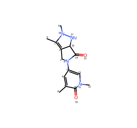 CC1=C2CN(c3cc(C)c(=O)n(C)c3)C(=O)C2NN1C